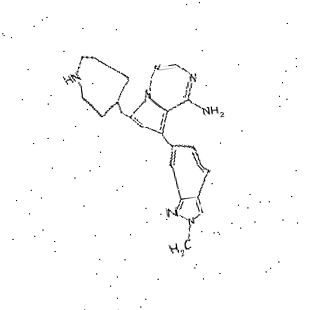 Cn1cc2ccc(-c3cc(C4CCNCC4)n4ncnc(N)c34)cc2n1